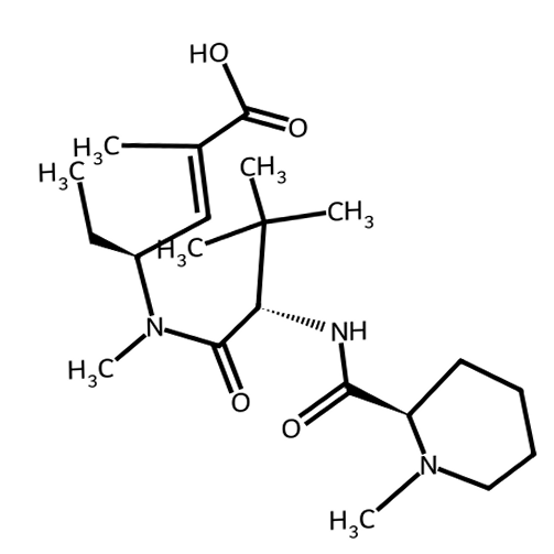 CC[C@@H](/C=C(\C)C(=O)O)N(C)C(=O)[C@@H](NC(=O)[C@H]1CCCCN1C)C(C)(C)C